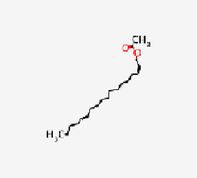 CCCC/C=C/CCCCCCCCC/C=C\COC(C)=O